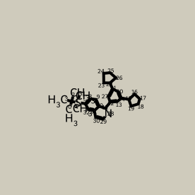 CC(C)(C)S(C)(C)c1ccc2c(-c3cc(C4CCCC4)cc(C4CCCC4)c3)nccc2c1